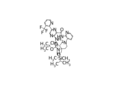 CC(C)[Si](C)(C)OCC1(NC(=O)OC(C)(C)C)CCN(c2cccnc2NC(=O)c2nc(-c3ncccc3C(F)(F)F)cnc2N)CC1